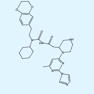 Cc1cc(N2CCNCC2CC(=O)NC(=O)N(CCc2ccc3c(c2)OCCO3)C2CCCCC2)nc(-n2ccnc2)n1